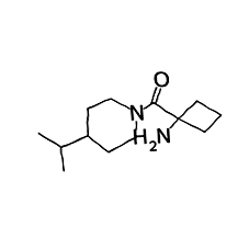 CC(C)C1CCN(C(=O)C2(N)CCC2)CC1